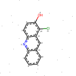 Oc1ccc2nc3ccccc3cc2c1Cl